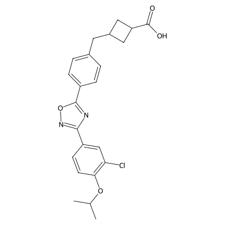 CC(C)Oc1ccc(-c2noc(-c3ccc(CC4CC(C(=O)O)C4)cc3)n2)cc1Cl